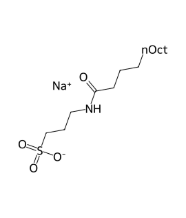 CCCCCCCCCCCC(=O)NCCCS(=O)(=O)[O-].[Na+]